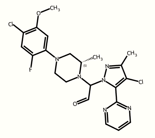 COc1cc(N2CCN(C(C=O)n3nc(C)c(Cl)c3-c3ncccn3)[C@@H](C)C2)c(F)cc1Cl